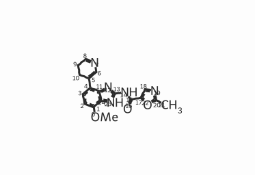 COc1ccc(C2=CN=CCC2)c2nc(NC(=O)c3cnc(C)o3)[nH]c12